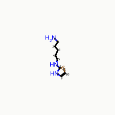 NCCCCCN[C]1NC=CS1